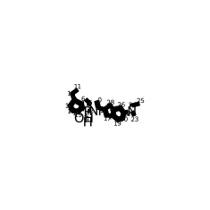 C=C(N[PH](C)(CC)c1cc(CC)ccc1O)C1=Cc2ccc(N(C)CC)cc2C1